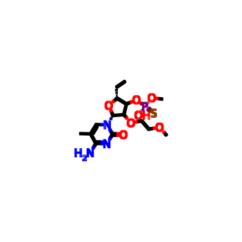 CC[C@H]1O[C@@H](n2cc(C)c(N)nc2=O)C(OCCOC)C1OP(O)(=S)OC